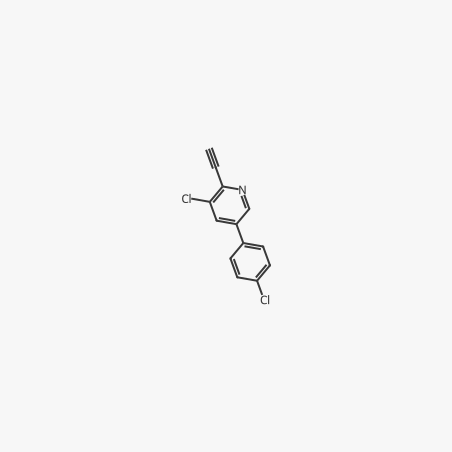 C#Cc1ncc(-c2ccc(Cl)cc2)cc1Cl